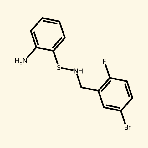 Nc1ccccc1SNCc1cc(Br)ccc1F